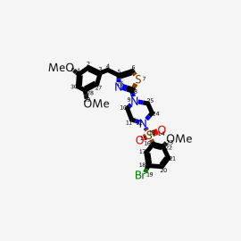 COc1cc(Cc2csc(N3CCN(S(=O)(=O)c4cc(Br)ccc4OC)CC3)n2)cc(OC)c1